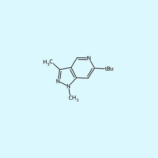 Cc1nn(C)c2cc(C(C)(C)C)ncc12